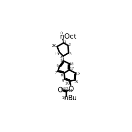 CCCCCCCC[C@H]1CC[C@H](c2ccc3cc(OC(=O)CCCC)ccc3c2)CC1